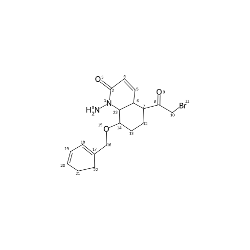 NN1C(=O)C=CC2C(C(=O)CBr)CCC(OCC3=CC=CCC3)C21